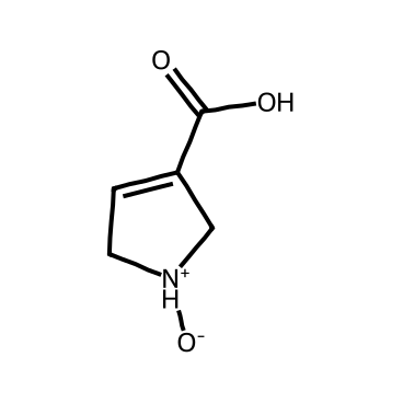 O=C(O)C1=CC[NH+]([O-])C1